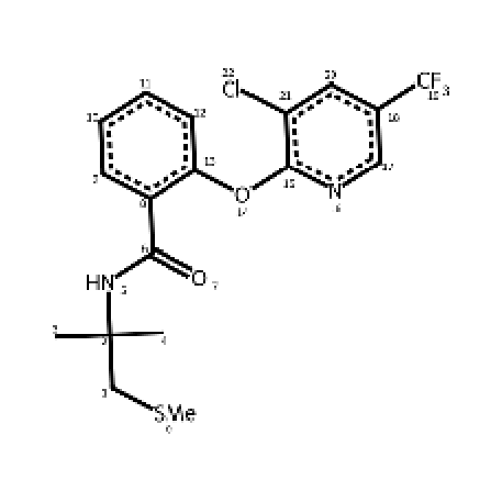 CSCC(C)(C)NC(=O)c1ccccc1Oc1ncc(C(F)(F)F)cc1Cl